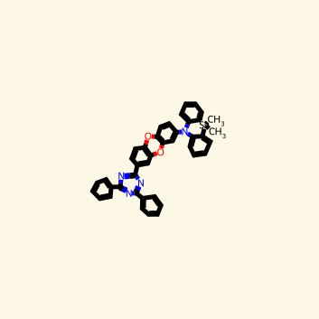 C[Si]1(C)c2ccccc2N(c2ccc3c(c2)Oc2cc(-c4nc(-c5ccccc5)nc(-c5ccccc5)n4)ccc2O3)c2ccccc21